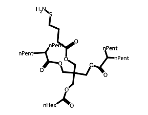 CCCCCCC(=O)OCC(COC(=O)CCCSN)(COC(=O)C(CCCCC)CCCCC)COC(=O)C(CCCCC)CCCCC